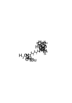 CN(CCCCCCCCN(C)C1CC2CCC1C2OC(=O)C(O)(c1cccs1)c1cccs1)C(=O)OC(C)(C)C